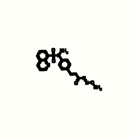 NON=NC(=O)/C=C/c1ccc(N(N)S(=O)(=O)c2cccc3cccnc23)cc1